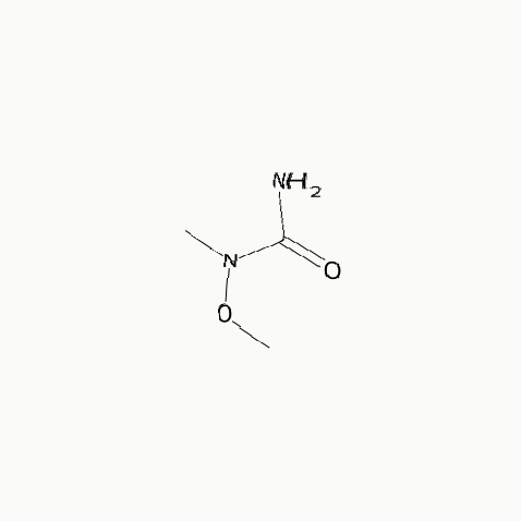 CON(C)C(N)=O